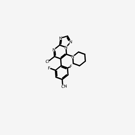 N#Cc1cc(F)c(-c2c(Cl)nc3ncnn3c2N2CCCCC2)c(F)c1